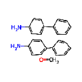 C=O.Nc1ccc(-c2ccccc2)cc1.Nc1ccc(-c2ccccc2)cc1